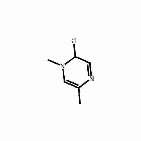 CC1=CN(C)C(Cl)C=N1